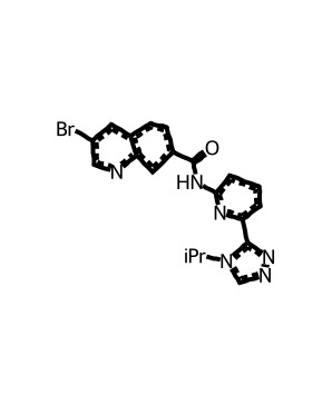 CC(C)n1cnnc1-c1cccc(NC(=O)c2ccc3cc(Br)cnc3c2)n1